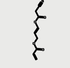 C=CC(=O)OCC=COC(=O)CC#N